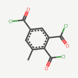 Cc1cc(C(=O)Cl)cc(C(=O)Cl)c1C(=O)Cl